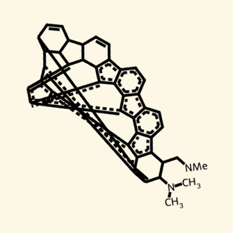 CNCC1c2c3ccc4c5ccc6c7c8c9c%10c%11c%12c%13c(c2c2c3c4c(c5c69)c%10c%122)=C(C2C=CC3C(C=C7)C8C=%11C3C%132)C1N(C)C